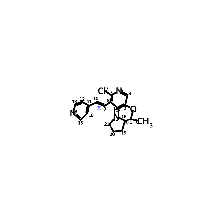 CC(Oc1cnc(Cl)c(/C=C/c2ccncc2)c1)[C@H]1CCCN1